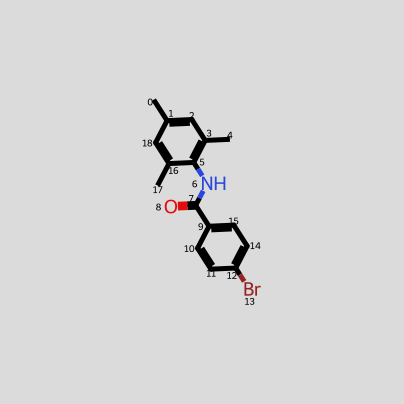 Cc1cc(C)c(NC(=O)c2ccc(Br)cc2)c(C)c1